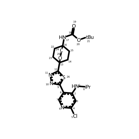 CC(C)Nc1cc(Cl)ncc1-c1nnc(C23CCC(NC(=O)OC(C)(C)C)(CC2)CO3)s1